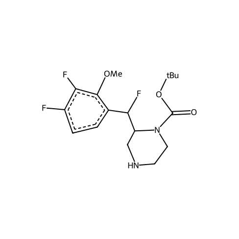 COc1c(C(F)C2CNCCN2C(=O)OC(C)(C)C)ccc(F)c1F